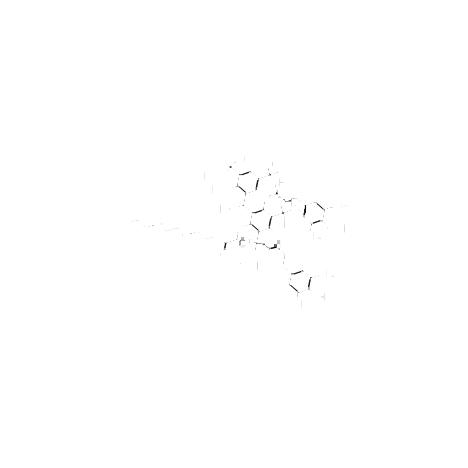 C=C(OCCOCCOCCO)C(=O)Oc1c(C(C)c2cc(C(C)(C)CC)cc(C(C)(C)CC)c2O)c(OC(=O)CCc2cc(C)c(O)c(C(C)(C)C)c2)c(C(C)(C)CC)c(OC(=O)CCc2cc(C)c(O)c(C(C)(C)C)c2)c1C(C)(C)CC